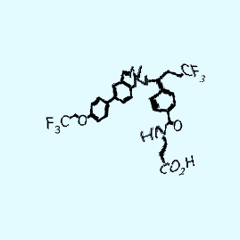 O=C(O)CCNC(=O)c1ccc(C(CCC(F)(F)F)n2ncc3cc(-c4ccc(OCC(F)(F)F)cc4)ccc32)cc1